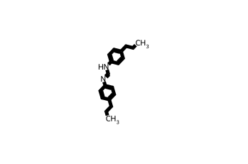 CCCc1ccc(N=CNc2ccc(CCC)cc2)cc1